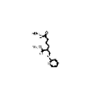 CCCCOC(=O)CCCC(CSc1ccccn1)C(=O)OC